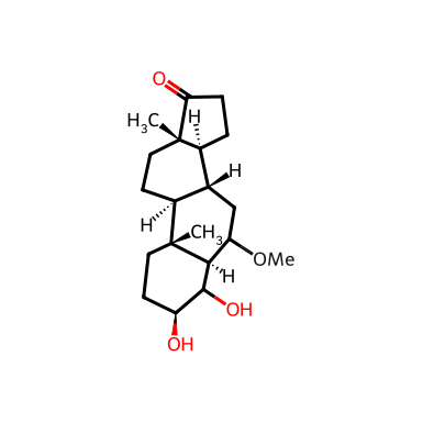 COC1C[C@@H]2[C@H](CC[C@]3(C)C(=O)CC[C@@H]23)[C@@]2(C)CC[C@H](O)C(O)[C@H]12